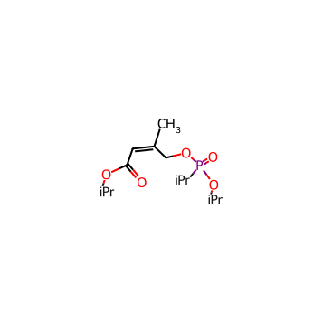 CC(=CC(=O)OC(C)C)COP(=O)(OC(C)C)C(C)C